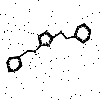 c1ccc(CSc2csc(SCc3ccccc3)n2)cc1